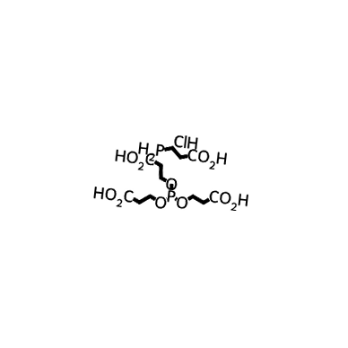 Cl.O=C(O)CCOP(OCCC(=O)O)OCCC(=O)O.O=C(O)CCP